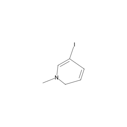 CN1C=C(I)C=CC1